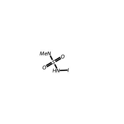 CNS(=O)(=O)NI